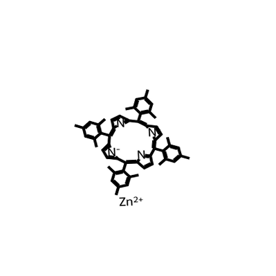 Cc1cc(C)c(-c2c3nc(c(-c4c(C)cc(C)cc4C)c4ccc([n-]4)c(-c4c(C)cc(C)cc4C)c4nc(c(-c5c(C)cc(C)cc5C)c5ccc2[n-]5)C=C4)C=C3)c(C)c1.[Zn+2]